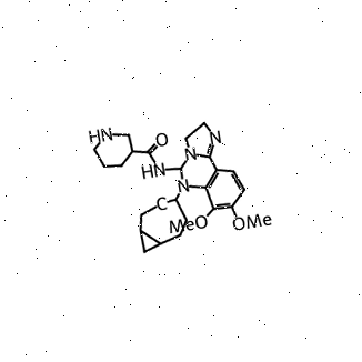 COc1ccc2c(c1OC)N(C1CCC3CC3CC1)C(NC(=O)C1CCCNC1)N1CCN=C21